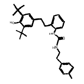 Cc1ccc(CCNC(=O)Nc2ccccc2CCc2cc(C(C)(C)C)c(O)c(C(C)(C)C)c2)cc1